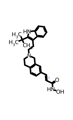 CC(C)(C)c1[nH]c2ccccc2c1CCN1CCc2ccc(/C=C/C(=O)NO)cc2C1